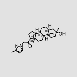 CC[C@]12CC[C@@](C)(O)C[C@@H]1CC[C@H]1[C@@H]3CC[C@H](C(=O)Cn4ccc(C)n4)[C@@]3(C)CC[C@@H]12